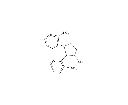 CN1CCC(c2ccccc2[N+](=O)[O-])C1c1ccccc1[N+](=O)[O-]